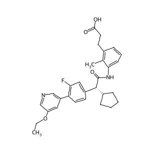 CCOc1cncc(-c2ccc([C@H](C(=O)Nc3cccc(CCC(=O)O)c3C)C3CCCC3)cc2F)c1